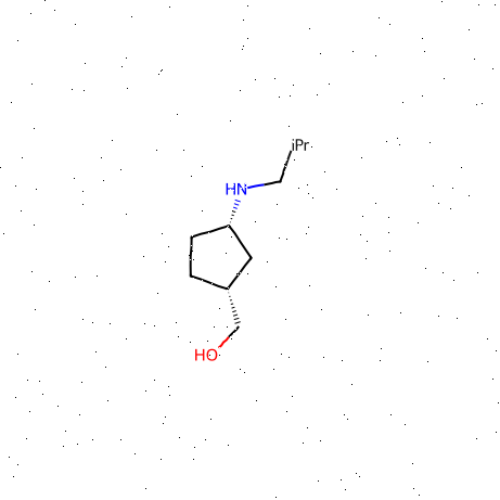 CC(C)CN[C@H]1CC[C@@H](CO)C1